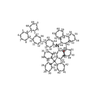 c1ccc(-c2ccccc2-c2ccc(-c3ccc(N(c4ccc5c(c4)C(c4ccccc4)(c4ccccc4)c4ccccc4-5)c4c(-c5ccccc5)c5ccccc5c5ccccc45)cc3)cc2)cc1